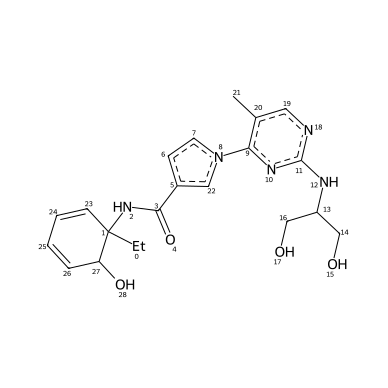 CCC1(NC(=O)c2ccn(-c3nc(NC(CO)CO)ncc3C)c2)C=CC=CC1O